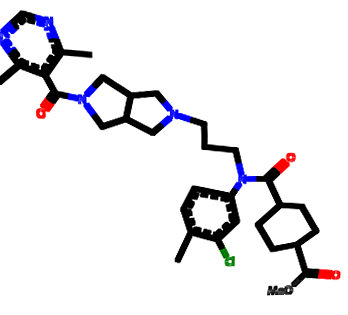 COC(=O)C1CCC(C(=O)N(CCCN2CC3CN(C(=O)c4c(C)ncnc4C)CC3C2)c2ccc(C)c(Cl)c2)CC1